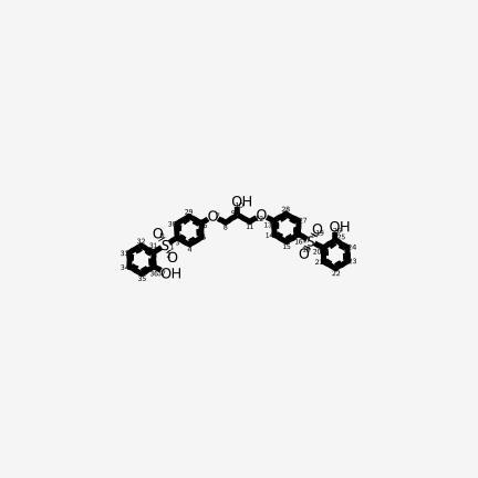 O=S(=O)(c1ccc(OCC(O)COc2ccc(S(=O)(=O)c3ccccc3O)cc2)cc1)c1ccccc1O